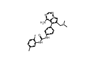 Cc1ccc(F)c(NC(=O)Nc2ccc(-c3c(CN(C)C)cn4ncnc(N)c34)cc2)c1